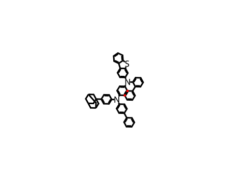 c1ccc(-c2ccc(N(c3ccc(N(c4ccc5c(c4)sc4ccccc45)c4ccccc4-c4ccccc4)cc3)c3ccc(C45CC6CC(CC(C6)C4)C5)cc3)cc2)cc1